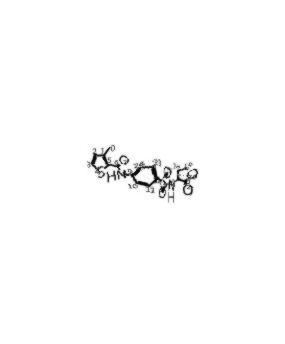 Cc1ccsc1C(=O)Nc1ccc(S(=O)(=O)NC2CCOC2=O)cc1